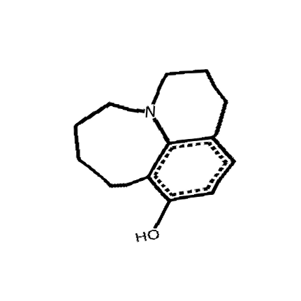 Oc1ccc2c3c1CCCCN3CCC2